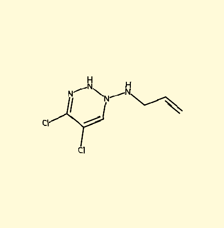 C=CCNN1C=C(Cl)C(Cl)=NN1